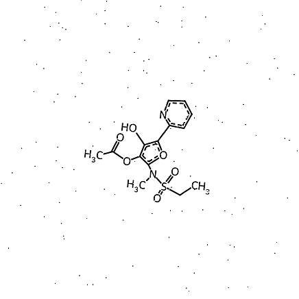 CCS(=O)(=O)N(C)c1oc(-c2ccccn2)c(O)c1OC(C)=O